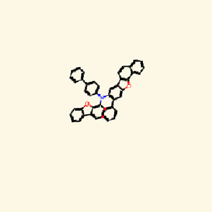 c1ccc(-c2ccc(N(c3cc4c(cc3-c3ccccc3)oc3c5ccccc5ccc43)c3cccc4c3oc3ccccc34)cc2)cc1